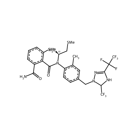 CSC[C@H](C)N(C(=O)c1c(SC)cccc1C(N)=O)c1ccc(CN2N=C(C(F)(F)C(F)(F)F)NC2C(F)(F)F)cc1C